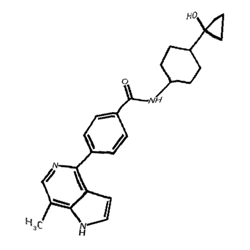 Cc1cnc(-c2ccc(C(=O)NC3CCC(C4(O)CC4)CC3)cc2)c2cc[nH]c12